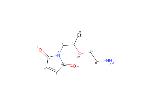 CCC(CN1C(=O)C=CC1=O)OCCN